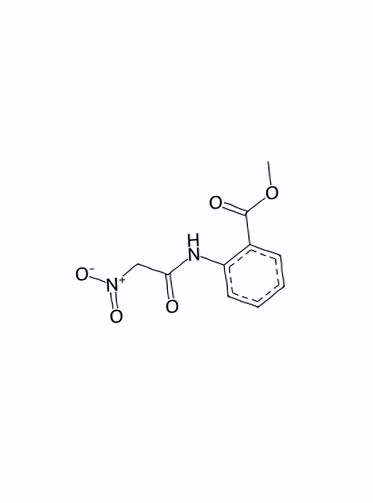 COC(=O)c1ccccc1NC(=O)C[N+](=O)[O-]